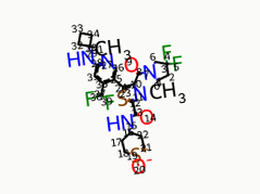 CC1CC(F)(F)CN1C(=O)c1nc(C(=O)NC2CC[S+]([O-])CC2)sc1-c1cnc(NC2(C)CCC2)cc1C(F)F